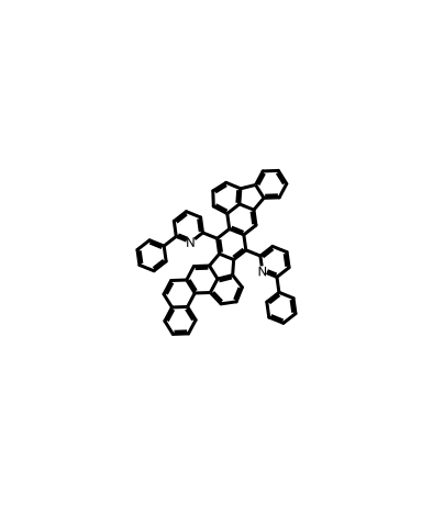 c1ccc(-c2cccc(-c3c4cc5c6ccccc6c6cccc(c4c(-c4cccc(-c7ccccc7)n4)c4c7cc8ccc9ccccc9c8c8cccc(c34)c78)c65)n2)cc1